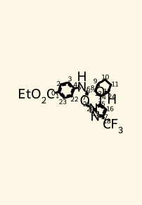 CCOC(=O)c1ccc(NC(=O)[C@@H]2C3CC[C@H](O3)[C@H]2c2cc(C(F)(F)F)nn2C)cc1